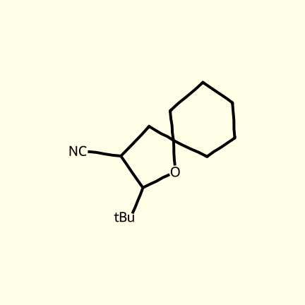 CC(C)(C)C1OC2(CCCCC2)CC1C#N